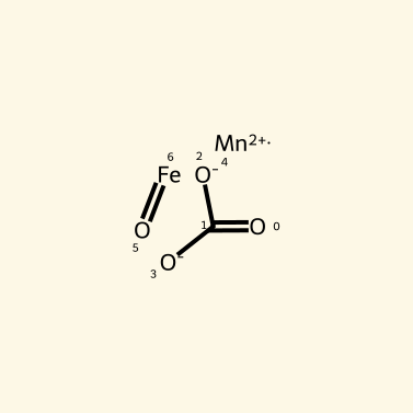 O=C([O-])[O-].[Mn+2].[O]=[Fe]